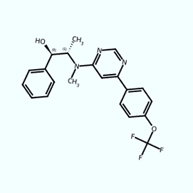 C[C@@H]([C@H](O)c1ccccc1)N(C)c1cc(-c2ccc(OC(F)(F)F)cc2)ncn1